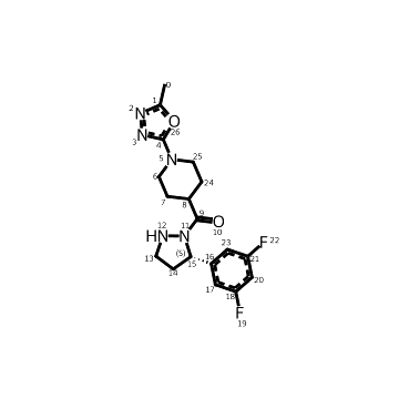 Cc1nnc(N2CCC(C(=O)N3NCC[C@H]3c3cc(F)cc(F)c3)CC2)o1